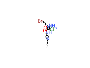 CCCCCCN1CCC(CNC(=O)c2cc(Cl)c(N)n(CCCCCBr)c2=O)CC1